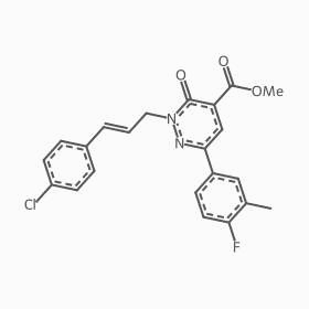 COC(=O)c1cc(-c2ccc(F)c(C)c2)nn(CC=Cc2ccc(Cl)cc2)c1=O